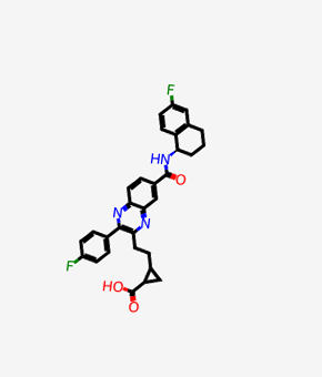 O=C(N[C@@H]1CCCc2cc(F)ccc21)c1ccc2nc(-c3ccc(F)cc3)c(CCC3CC3C(=O)O)nc2c1